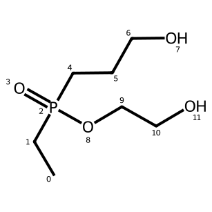 CCP(=O)(CCCO)OCCO